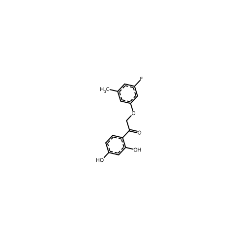 Cc1cc(F)cc(OCC(=O)c2ccc(O)cc2O)c1